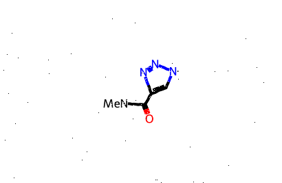 CNC(=O)C1=C[N]N=N1